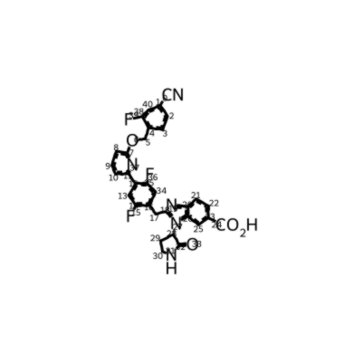 N#Cc1ccc(COc2cccc(-c3cc(F)c(Cc4nc5ccc(C(=O)O)cc5n4[C@H]4CCNC4=O)cc3F)n2)c(F)c1